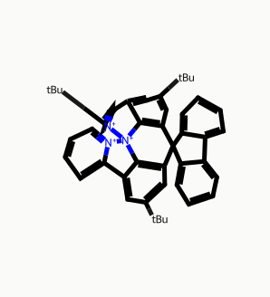 CC(C)(C)c1cc2c3c(c1)C1(c4ccccc4-c4ccccc41)c1cc(C(C)(C)C)cc4c1[N+]3([n+]1ccccc1-2)[n+]1ccc(C(C)(C)C)cc1-4